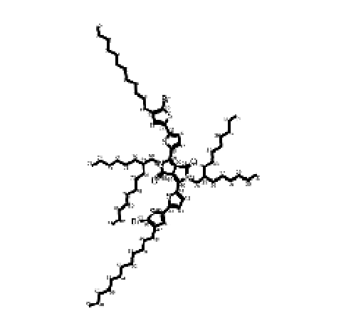 CCCCCCCCCCCCc1cc(-c2ccc(C3=C4C(=O)N(CC(CCCCCC)CCCCCCCC)C(c5ccc(-c6cc(CCCCCCCCCCCC)c(Br)s6)s5)=C4C(=O)N3CC(CCCCCC)CCCCCCCC)s2)sc1Br